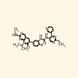 CCc1ncc(NC(=O)Nc2cc(-c3cc4cnc(NC)nc4n(C(C)C)c3=O)ccc2F)c(-c2cccnc2)n1